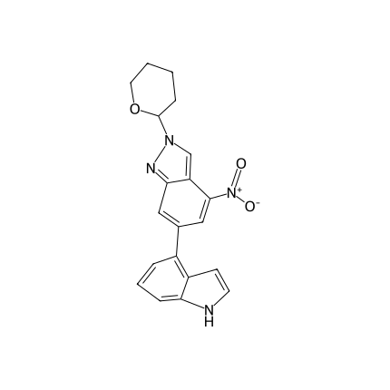 O=[N+]([O-])c1cc(-c2cccc3[nH]ccc23)cc2nn(C3CCCCO3)cc12